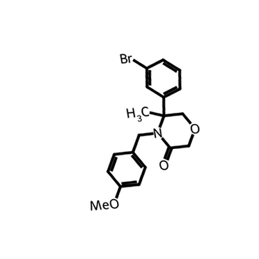 COc1ccc(CN2C(=O)COCC2(C)c2cccc(Br)c2)cc1